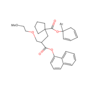 COCCOCC(CC1(C(=O)OC2(C(C)=O)C=CC=CC2)CCCC1)C(=O)Oc1cccc2ccccc12